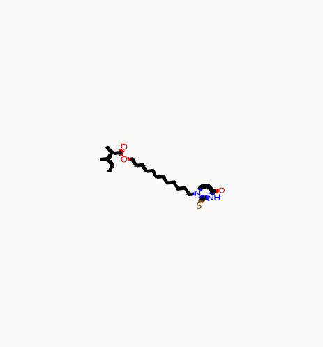 CCC(C)C(C)C(=O)OCCCCCCCCCCCCn1ccc(=O)[nH]c1=S